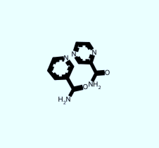 NC(=O)c1cccnc1.NC(=O)c1cnccn1